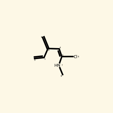 C=CC(=C)/C=C(/Cl)NC